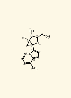 Nc1ncnn2c([C@@]34C[C@@]3(F)[C@H](O)[C@@H](CO)O4)ccc12